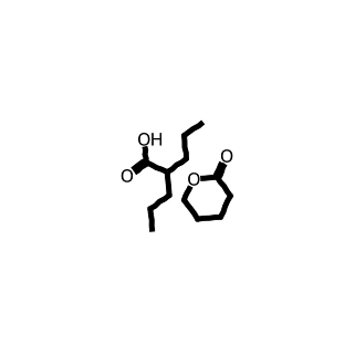 CCCC(CCC)C(=O)O.O=C1CCCCO1